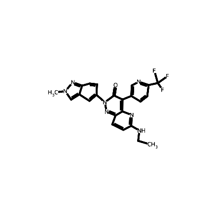 CCNc1ccc2nn(-c3ccc4nn(C)cc4c3)c(=O)c(-c3ccc(C(F)(F)F)nc3)c2n1